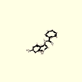 Nc1ccc2c(OC(=O)c3ccccc3)c[nH]c2c1